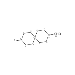 CC1CCC2(CC1)CCN(C=O)CC2